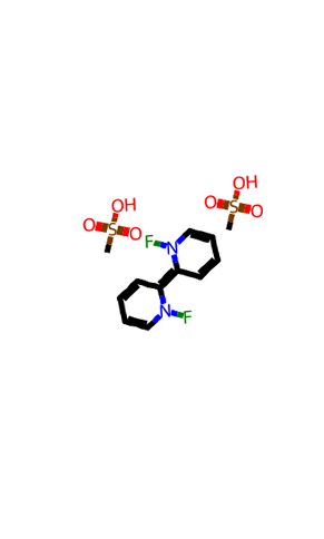 CS(=O)(=O)O.CS(=O)(=O)O.FN1C=CC=CC1=C1C=CC=CN1F